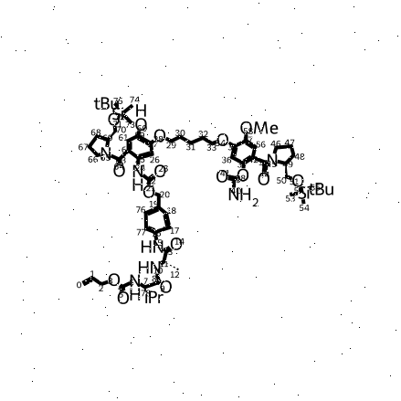 C=CCOC(=O)N[C@H](C(=O)N[C@@H](C)C(=O)Nc1ccc(COC(=O)Nc2cc(OCCCCCOc3cc(OC(N)=O)c(C(=O)N4CCC[C@H]4CO[Si](C)(C)C(C)(C)C)cc3OC)c(O)cc2C(=O)N2CCC[C@H]2CO[Si](C)(C)C(C)(C)C)cc1)C(C)C